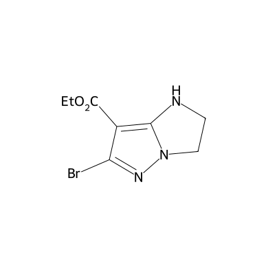 CCOC(=O)c1c(Br)nn2c1NCC2